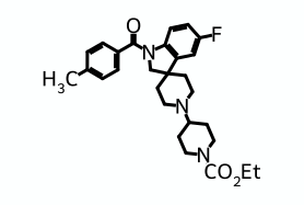 CCOC(=O)N1CCC(N2CCC3(CC2)CN(C(=O)c2ccc(C)cc2)c2ccc(F)cc23)CC1